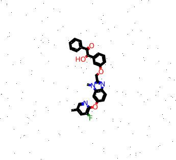 Cc1cnc(Oc2ccc3nc(COc4cccc(C(O)C(=O)c5ccccc5)c4)n(C)c3c2)c(F)c1